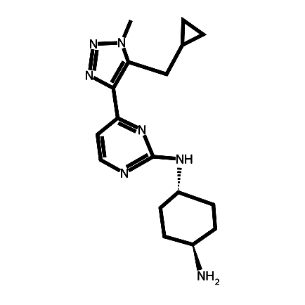 Cn1nnc(-c2ccnc(N[C@H]3CC[C@H](N)CC3)n2)c1CC1CC1